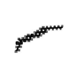 CCCCCCCCCc1ccc(-c2ccc(COc3ccc(OCC(C)OC(=O)CCCC)cc3)cc2)cc1